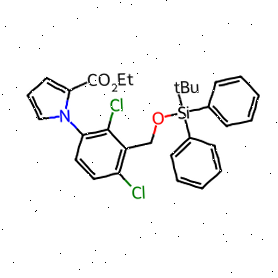 CCOC(=O)c1cccn1-c1ccc(Cl)c(CO[Si](c2ccccc2)(c2ccccc2)C(C)(C)C)c1Cl